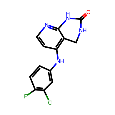 O=C1NCc2c(Nc3ccc(F)c(Cl)c3)ccnc2N1